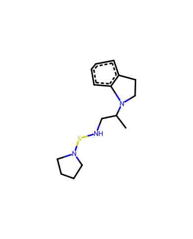 CC(CNSN1CCCC1)N1CCc2ccccc21